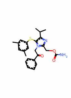 Cc1cc(C)cc(Sc2c(C(C)C)nc(COC(N)=O)n2CC(=O)c2ccccc2)c1